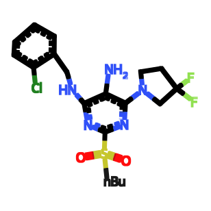 CCCCS(=O)(=O)c1nc(NCc2ccccc2Cl)c(N)c(N2CCC(F)(F)C2)n1